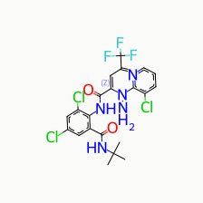 C=C(/C=C(/C(=O)Nc1c(Cl)cc(Cl)cc1C(=O)NC(C)(C)C)N(N)c1ncccc1Cl)C(F)(F)F